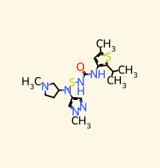 Cc1cc(NC(=O)NSN(c2cnn(C)c2)C2CCN(C)C2)c(C(C)C)s1